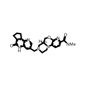 CNC(=O)c1ccc2c(n1)OC[C@H]1CN(Cc3cnc4c5c(c(=O)[nH]c4c3)CCC5)CCN21